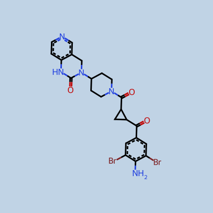 Nc1c(Br)cc(C(=O)C2CC2C(=O)N2CCC(N3Cc4cnccc4NC3=O)CC2)cc1Br